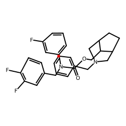 O=C(OCC1C2CCC1CN(Cc1ccccc1)C2)N(Cc1ccc(F)c(F)c1)c1cccc(F)c1